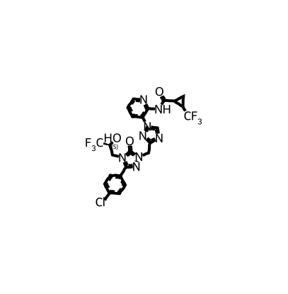 O=C(Nc1ncccc1-n1cnc(Cn2nc(-c3ccc(Cl)cc3)n(C[C@H](O)C(F)(F)F)c2=O)n1)C1CC1C(F)(F)F